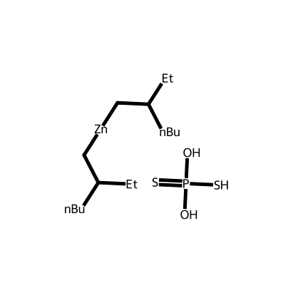 CCCCC(CC)[CH2][Zn][CH2]C(CC)CCCC.OP(O)(=S)S